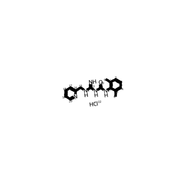 Cc1cccc(C)c1NC(=O)NC(=N)NCc1ccccn1.Cl